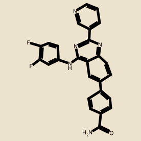 NC(=O)c1ccc(-c2ccc3nc(-c4cccnc4)nc(Nc4ccc(F)c(F)c4)c3c2)cc1